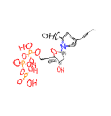 CC#Cc1cc(C=O)n([C@H]2C[C@H](O)[C@@H](COP(=O)(O)OP(=O)(O)OP(=O)(O)O)O2)c1